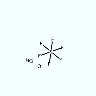 Cl.FS(F)(F)(F)(F)F.[O]